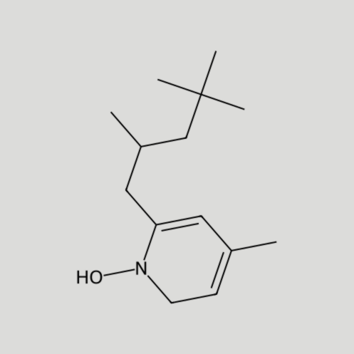 CC1=CCN(O)C(CC(C)CC(C)(C)C)=C1